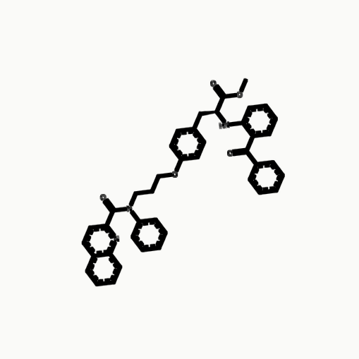 COC(=O)[C@H](Cc1ccc(OCCCN(C(=O)c2ccc3ccccc3n2)c2ccccc2)cc1)Nc1ccccc1C(=O)c1ccccc1